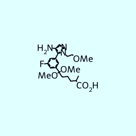 COCCn1ncc(N)c1-c1cc(F)cc(C(CCCC(C)C(=O)O)(OC)OC)c1